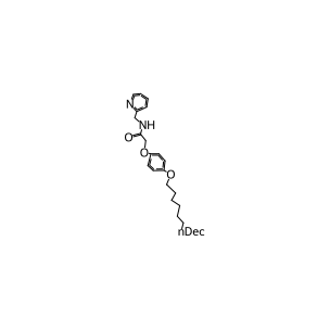 CCCCCCCCCCCCCCCCOc1ccc(OCC(=O)NCc2ccccn2)cc1